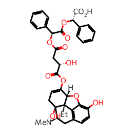 CC[C@]12c3c4ccc(O)c3O[C@H]1C(OC(=O)[C@@H](O)CC(=O)O[C@H](C(=O)O[C@H](C(=O)O)c1ccccc1)c1ccccc1)=CC[C@@]2(O)[C@H](NC)C4